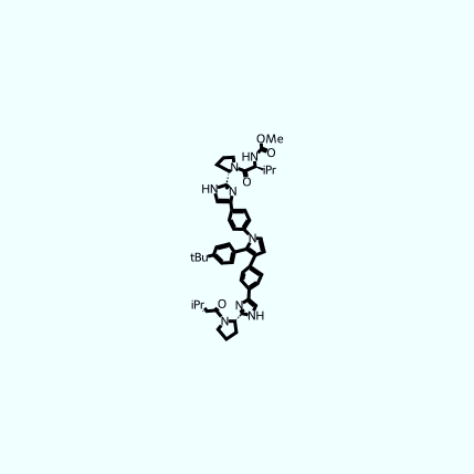 COC(=O)N[C@H](C(=O)N1CCC[C@H]1c1nc(-c2ccc(-n3ccc(-c4ccc(-c5c[nH]c([C@@H]6CCCN6C(=O)[CH]C(C)C)n5)cc4)c3-c3ccc(C(C)(C)C)cc3)cc2)c[nH]1)C(C)C